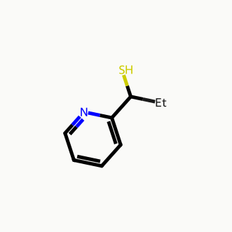 CCC(S)c1ccccn1